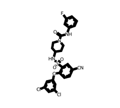 N#Cc1ccc(Oc2cc(Cl)cc(Cl)c2)c(S(=O)(=O)NC2CCN(C(=O)Nc3cccc(F)c3)CC2)c1